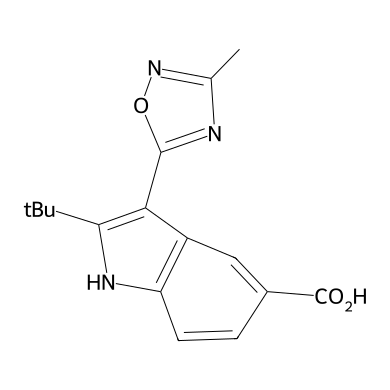 Cc1noc(-c2c(C(C)(C)C)[nH]c3ccc(C(=O)O)cc23)n1